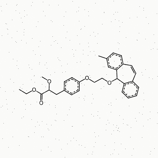 CCOC(=O)C(Cc1ccc(OCCOC2c3ccccc3C=Cc3ccc(C)cc32)cc1)OC